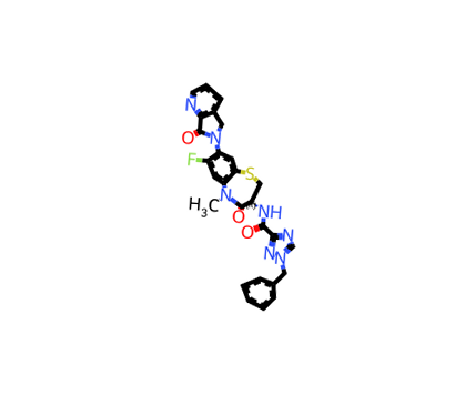 CN1C(=O)[C@@H](NC(=O)c2ncn(Cc3ccccc3)n2)CSc2cc(N3Cc4cccnc4C3=O)c(F)cc21